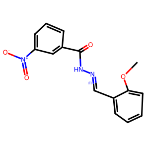 COc1ccccc1/C=N/NC(=O)c1cccc([N+](=O)[O-])c1